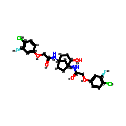 O=C(COc1ccc(Cl)c(F)c1)NC12CC[C@@](NC(=O)COc3ccc(Cl)c(F)c3)(CCC1O)C2